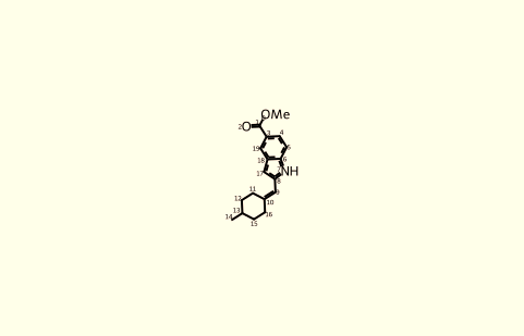 COC(=O)c1ccc2[nH]c(C=C3CCC(C)CC3)cc2c1